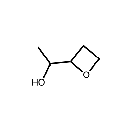 C[C](O)C1CCO1